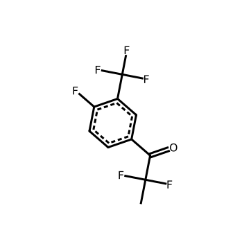 CC(F)(F)C(=O)c1ccc(F)c(C(F)(F)F)c1